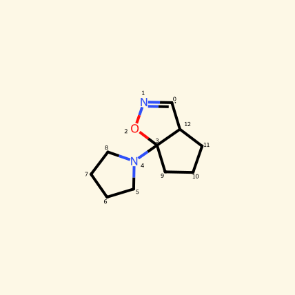 [C]1=NOC2(N3CCCC3)CCCC12